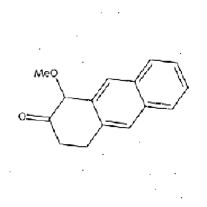 COC1C(=O)CCc2cc3ccccc3cc21